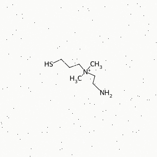 C[N+](C)(CCN)CCCS